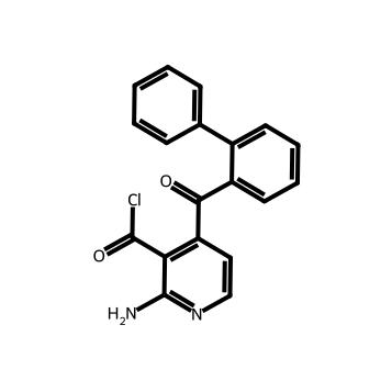 Nc1nccc(C(=O)c2ccccc2-c2ccccc2)c1C(=O)Cl